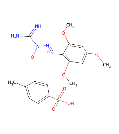 COc1cc(OC)c(/C=N/N(O)C(=N)N)c(OC)c1.Cc1ccc(S(=O)(=O)O)cc1